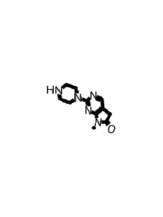 CN1C(=O)Cc2cnc(N3CCNCC3)nc21